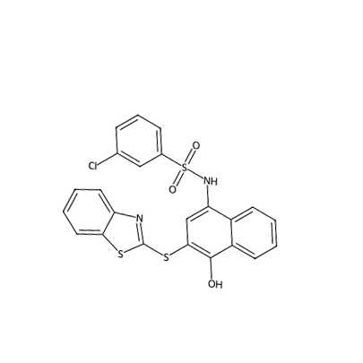 O=S(=O)(Nc1cc(Sc2nc3ccccc3s2)c(O)c2ccccc12)c1cccc(Cl)c1